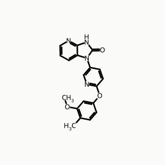 COc1cc(Oc2ccc(-n3c(=O)[nH]c4ncccc43)cn2)ccc1C